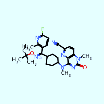 Cc1nc(F)ccc1/C(=N\OC(C)(C)C)C1CCC(N(C)c2nc(=O)n(C)c3ccc(C#N)nc23)CC1